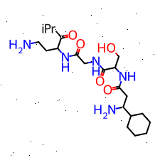 CC(C)C(=O)C(CCN)NC(=O)CNC(=O)C(CO)NC(=O)CC(N)C1CCCCC1